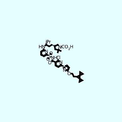 CC(C)C(CC[C@H]1CN(C(=O)O)C(C)(C)C1)Nc1cccc(S(=O)(=O)NC(=O)c2ccc(-n3ccc(OCCC4C5(CC5)C45CC5)n3)nc2Cl)n1